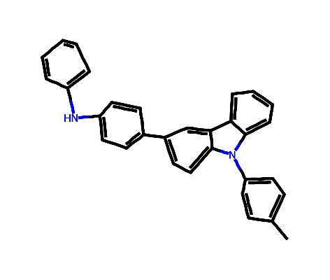 Cc1ccc(-n2c3ccccc3c3cc(-c4ccc(Nc5ccccc5)cc4)ccc32)cc1